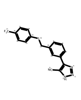 N#Cc1[nH]nnc1-c1cccc(CSc2ccc(C(F)(F)F)cc2)c1